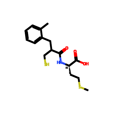 CSCC[C@H](NC(=O)C(CS)Cc1ccccc1C)C(=O)O